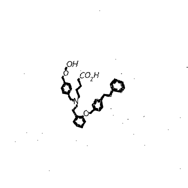 O=C(O)CCCCN(CCc1ccccc1OCc1ccc(CCc2ccccc2)cc1)Cc1ccc(COCO)cc1